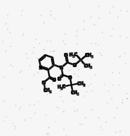 COC(=O)c1ncccc1N(C(=O)OC(C)(C)C)C(=O)OC(C)(C)C